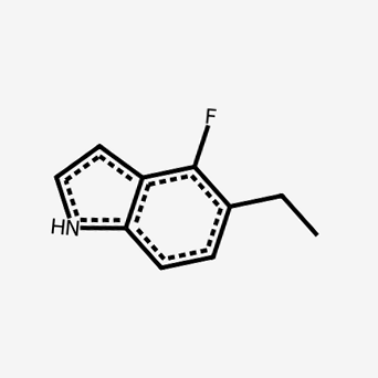 CCc1ccc2[nH]ccc2c1F